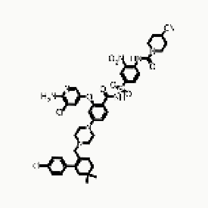 CC1(C)CCC(CN2CCN(c3ccc(C(=O)NS(=O)(=O)c4ccc(NC(=O)N5CCC(C#N)CC5)c([N+](=O)[O-])c4)c(Oc4cnc(N)c(Cl)c4)c3)CC2)=C(c2ccc(Cl)cc2)C1